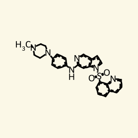 CN1CCN(c2ccc(Nc3cc4c(ccn4S(=O)(=O)c4cccc5cccnc45)cn3)cc2)CC1